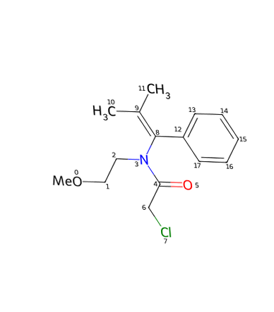 COCCN(C(=O)CCl)C(=C(C)C)c1ccccc1